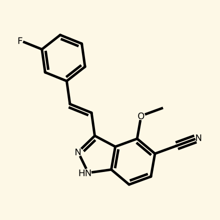 COc1c(C#N)ccc2[nH]nc(C=Cc3cccc(F)c3)c12